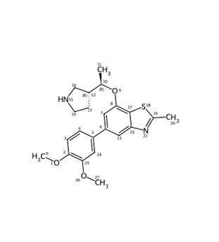 COc1ccc(-c2cc(O[C@H](C)[C@@H]3CCNC3)c3sc(C)nc3c2)cc1OC